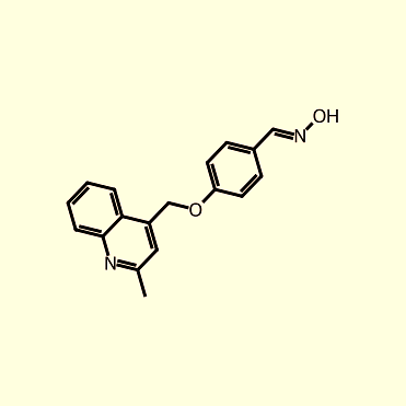 Cc1cc(COc2ccc(/C=N/O)cc2)c2ccccc2n1